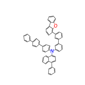 c1ccc(-c2ccc(-c3ccc(N(c4cccc(-c5cccc(-c6cccc7c6oc6ccccc67)c5)c4)c4ccc(-c5ccccc5)c5ccccc45)cc3)cc2)cc1